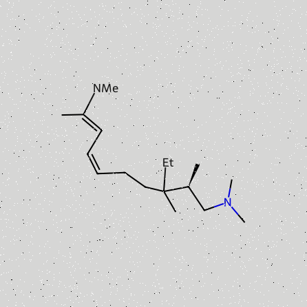 CCC(C)(CC/C=C\C=C(/C)NC)[C@@H](C)CN(C)C